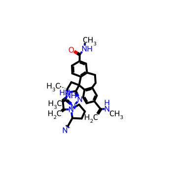 C=C(NC)c1ccc2c(c1)CCc1cc(C(=O)NC)ccc1C2(C[C@@H](C)NCC(=C)N1CCCC1C#N)c1nnc(C)[nH]1